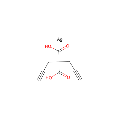 C#CCC(CC#C)(C(=O)O)C(=O)O.[Ag]